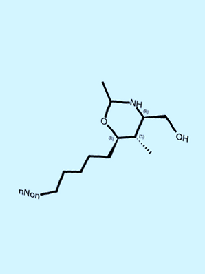 CCCCCCCCCCCCCC[C@H]1OC(C)N[C@@H](CO)[C@@H]1C